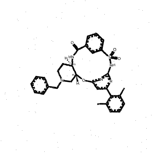 Cc1cccc(C)c1-c1cc2nc(n1)NS(=O)(=O)c1cccc(c1)C(=O)N[C@@H]1CCN(Cc3ccccc3)C[C@H]1O2